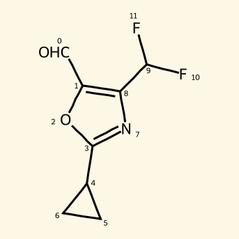 O=Cc1oc(C2CC2)nc1C(F)F